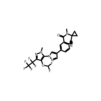 CN(C(=O)c1cc(-c2cnn(-c3c(OC(F)F)c(C(F)(F)C(F)(F)F)nn3C)c2)ccc1Cl)C1(C#N)CC1